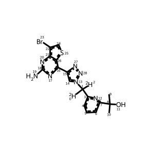 [2H]C([2H])(c1cccc(C(C)(C)O)n1)n1cc(-c2nc(N)nc3c(Br)csc23)nn1